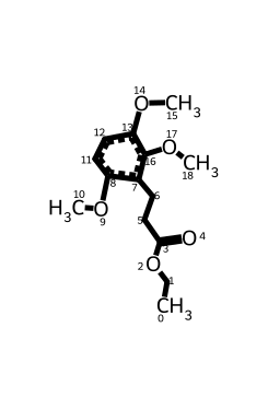 CCOC(=O)CCc1c(OC)ccc(OC)c1OC